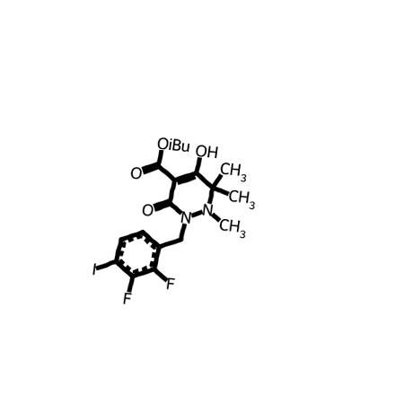 CC(C)COC(=O)C1=C(O)C(C)(C)N(C)N(Cc2ccc(I)c(F)c2F)C1=O